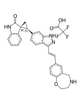 O=C(O)C(F)(F)F.O=C1Nc2ccccc2[C@]12C[C@H]2c1ccc2c(C=Cc3ccc4c(c3)CNCCO4)n[nH]c2c1